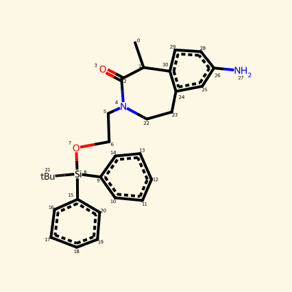 CC1C(=O)N(CCO[Si](c2ccccc2)(c2ccccc2)C(C)(C)C)CCc2cc(N)ccc21